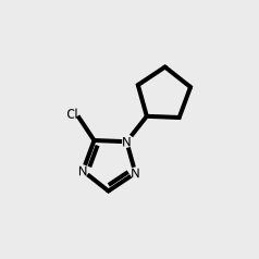 Clc1ncnn1C1CCCC1